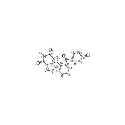 CN1C(=O)C2=NC=NC2(Cc2ccccc2C(=O)c2ccc(Cl)nc2)N(C)C1=O